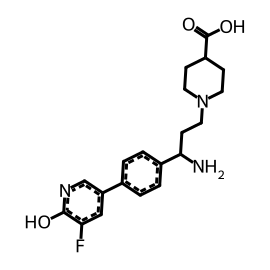 NC(CCN1CCC(C(=O)O)CC1)c1ccc(-c2cnc(O)c(F)c2)cc1